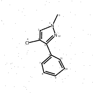 Cn1cc(Cl)c(-c2ccccc2)n1